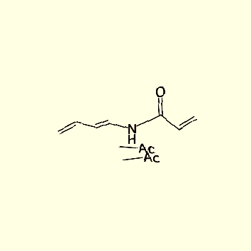 C=CC=CNC(=O)C=C.CC(C)=O.CC(C)=O